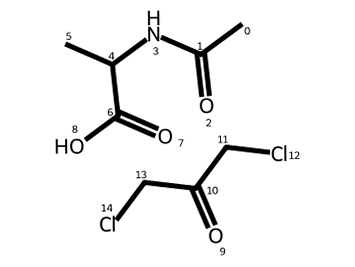 CC(=O)NC(C)C(=O)O.O=C(CCl)CCl